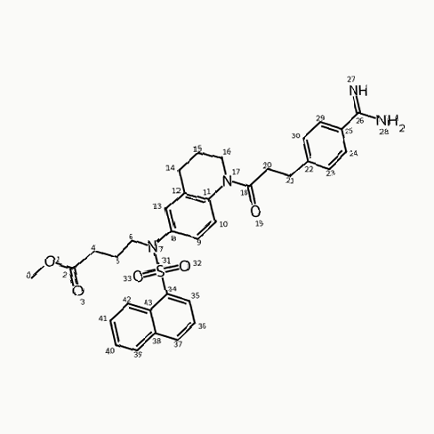 COC(=O)CCCN(c1ccc2c(c1)CCCN2C(=O)CCc1ccc(C(=N)N)cc1)S(=O)(=O)c1cccc2ccccc12